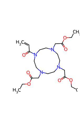 C=CC(=O)N1CCN(CC(=O)OCC)CCN(CC(=O)OCC)CCN(CC(=O)OCC)CC1